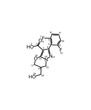 O=C(O)c1c(-c2c(F)cccc2F)nn2c1OCC(CO)C2